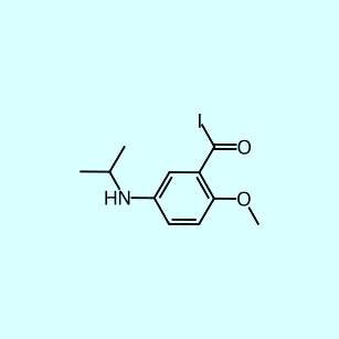 COc1ccc(NC(C)C)cc1C(=O)I